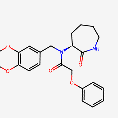 O=C1NCCCC[C@@H]1N(Cc1ccc2c(c1)OCCO2)C(=O)COc1ccccc1